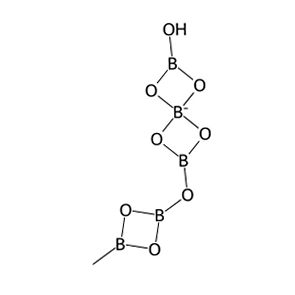 CB1OB(OB2O[B-]3(OB(O)O3)O2)O1